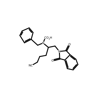 N#CCCCC(CN1C(=O)c2ccccc2C1=O)N(Cc1ccccc1)C(=O)O